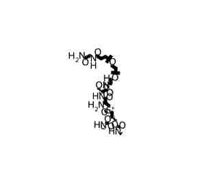 CNC(=O)OC[C@H](C[S+]([O-])C[C@H](N)C(=O)N[C@@H](CO)C(=O)NCCOC(C)(C)CCOC(C)(C)CCC(=O)NCC(N)=O)OC(=O)NC